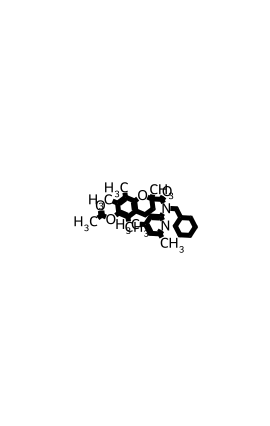 CC(=O)Oc1c(C)c(C)c2c(c1C)CCC(C)(C(=O)N(CC1CCCCC1)c1cc(C)cc(C)n1)O2